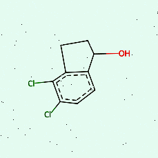 OC1CCc2c1ccc(Cl)c2Cl